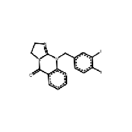 O=C1c2cccnc2N(Cc2ccc(F)c(F)c2)C2=NCCN12